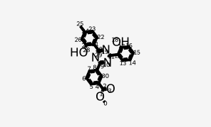 COC(=O)c1cccc(-c2nc(-c3ccccc3O)nc(-c3ccc(C)cc3O)n2)c1